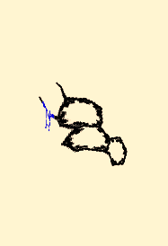 CNc1c(C)ccc2c1ccc1ccccc12